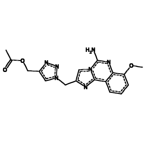 COc1cccc2c1nc(N)n1cc(Cn3cc(COC(C)=O)nn3)nc21